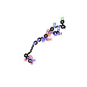 CC1(C)CCC(CNCCNc2ccc(C(=O)NS(=O)(=O)c3ccc(NCC4CCN(C5CCN(CCCCCCC#Cc6cccc7c6C(=O)N(C6CCC(=O)NC6=O)C7=O)CC5)CC4)c(NO)c3)c(Oc3cnc4[nH]ccc4c3)c2)=C(c2ccc(Cl)cc2)C1